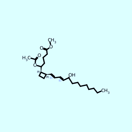 CCCCCCCCC(O)/C=C/C=C/[C@H]1CC[C@H]1C(CCCC(=O)OC)OC(C)=O